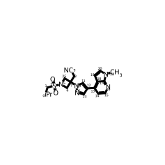 CC(C)CS(=O)(=O)N1CC(CC#N)(n2cc(-c3ccnc4c3ccn4C)cn2)C1